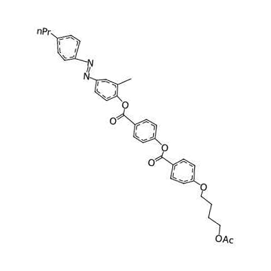 CCCc1ccc(/N=N/c2ccc(OC(=O)c3ccc(OC(=O)c4ccc(OCCCCOC(C)=O)cc4)cc3)c(C)c2)cc1